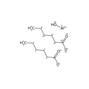 CCCCCC(=O)[O-].CCCCCC(=O)[O-].[OH][Al+2]